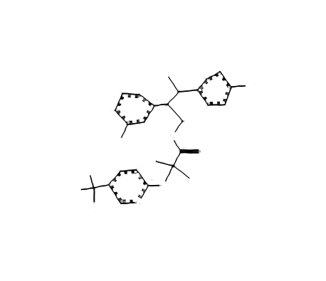 CC(c1ccc(Cl)cc1)C(CNC(=O)C(C)(C)Oc1ccc(C(F)(F)F)cn1)c1cccc(Cl)c1